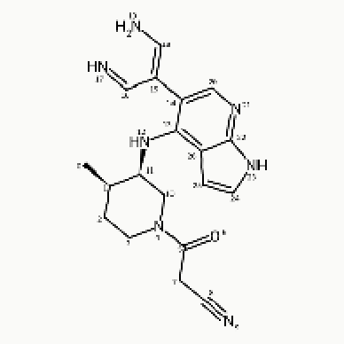 C[C@@H]1CCN(C(=O)CC#N)C[C@@H]1Nc1c(/C(C=N)=C/N)cnc2[nH]ccc12